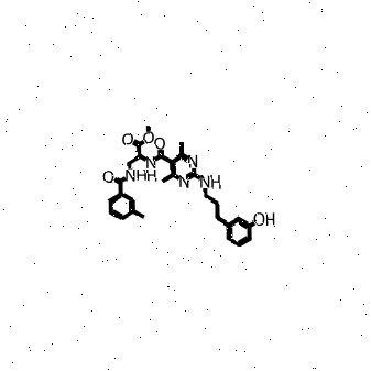 COC(=O)C(CNC(=O)c1cccc(C)c1)NC(=O)c1c(C)nc(NCCCc2cccc(O)c2)nc1C